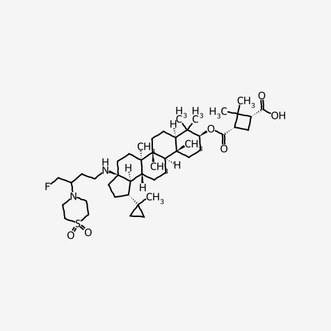 CC1([C@@H]2CC[C@]3(NCCC(CF)N4CCS(=O)(=O)CC4)CC[C@]4(C)[C@H](CC[C@@H]5[C@@]6(C)CC[C@H](OC(=O)[C@H]7C[C@@H](C(=O)O)C7(C)C)C(C)(C)[C@@H]6CC[C@]54C)[C@@H]23)CC1